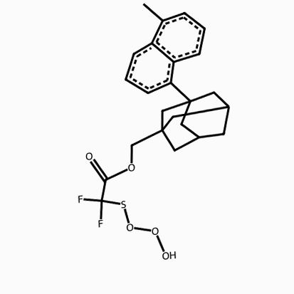 Cc1cccc2c(C34CC5CC(CC(COC(=O)C(F)(F)SOOO)(C5)C3)C4)cccc12